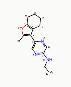 Cc1oc2c(c1-c1cnc(NCC(C)C)cn1)CCCC2